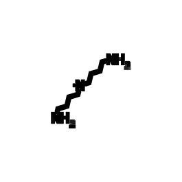 NCCCC[N]CCCCN